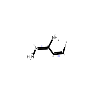 N/N=C(N)\C=C/I